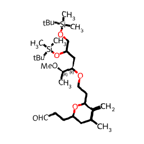 C=C1C(C)CC(CCC=O)OC1CCO[C@H](CC(CO[Si](C)(C)C(C)(C)C)O[Si](C)(C)C(C)(C)C)[C@@H](C)OC